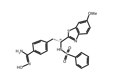 COc1ccc2nc([C@@H](Cc3ccc(C(N)=NO)cc3)NS(=O)(=O)c3ccccc3)sc2c1